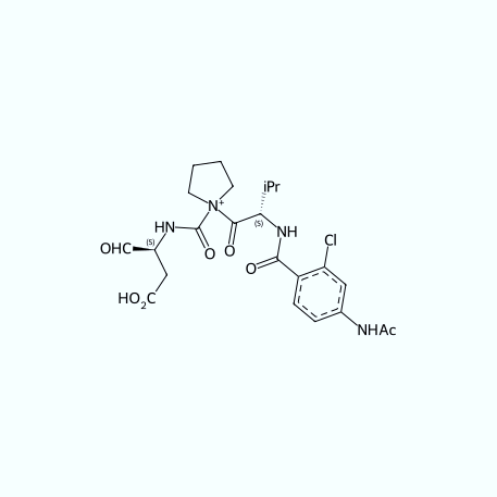 CC(=O)Nc1ccc(C(=O)N[C@H](C(=O)[N+]2(C(=O)N[C@H](C=O)CC(=O)O)CCCC2)C(C)C)c(Cl)c1